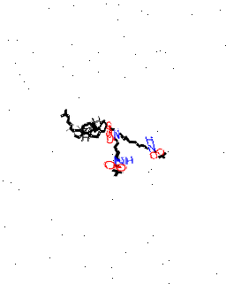 CC(C)CCC[C@@H](C)[C@H]1CC[C@H]2[C@@H]3CC=C4C[C@@H](OC(=O)CN(CCCCCCCCNC(=O)OC(C)(C)C)C(=O)CCCCNC(=O)OC(C)(C)C)CCC4(C)[C@H]3CC[C@]12C